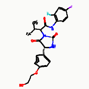 CC(C(C(=O)Nc1ccc(I)cc1F)N1C(=O)N[C@H](c2ccc(OCCO)cc2)C1=O)C(F)(F)F